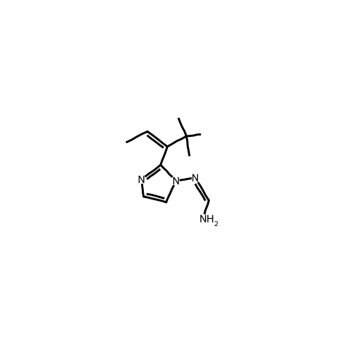 C/C=C(\c1nccn1/N=C\N)C(C)(C)C